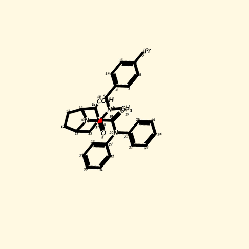 CC(C)c1ccc(CN(C)C(=O)N2C3CCC2[C@@H](C(=O)O)N(C(=O)N(c2ccccc2)c2ccccc2)C3)cc1